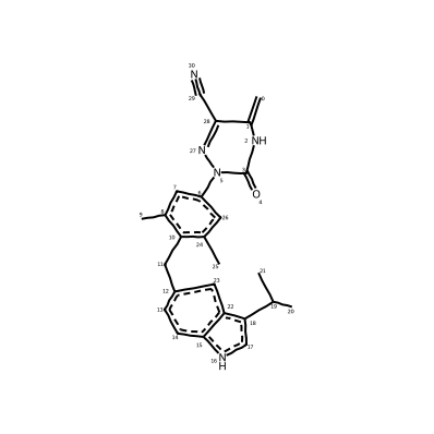 C=C1NC(=O)N(c2cc(C)c(Cc3ccc4[nH]cc(C(C)C)c4c3)c(C)c2)N=C1C#N